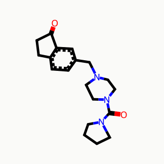 O=C1CCc2ccc(CN3CCN(C(=O)N4CCCC4)CC3)cc21